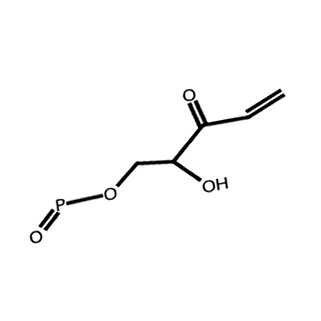 C=CC(=O)C(O)COP=O